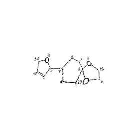 C1=CC(C2CCC3(CC2)OCCO3)OC1